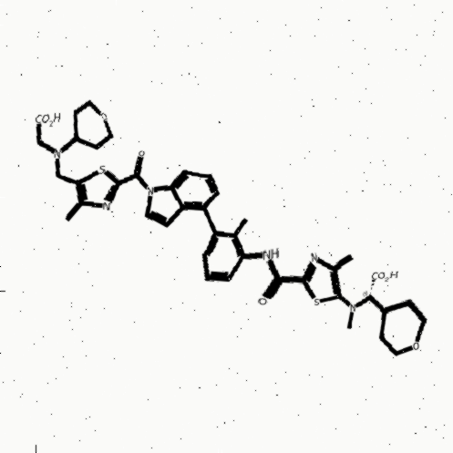 Cc1nc(C(=O)n2ccc3c(-c4cccc(NC(=O)c5nc(C)c(N(C)[C@H](C(=O)O)C6CCOCC6)s5)c4C)cccc32)sc1CN(CC(=O)O)C1CCOCC1